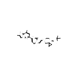 Cc1cn2nc(-c3cc(=O)n4cc(N5CCN(C(=O)OC(C)(C)C)C6(CC6)C5)sc4n3)cc(C)c2n1